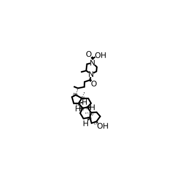 CC(CCC(=O)N1CCN(C(=O)O)CC1C)[C@H]1CC[C@H]2[C@@H]3CC[C@H]4C[C@@H](O)CC[C@]4(C)[C@H]3CC[C@]12C